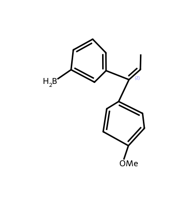 Bc1cccc(/C(=C\C)c2ccc(OC)cc2)c1